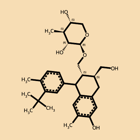 Cc1cc2c(cc1O)C[C@H](CO)[C@@H](CO[C@@H]1OC[C@@H](O)[C@H](C)[C@H]1O)C2c1ccc(C)c(C(C)(C)C)c1